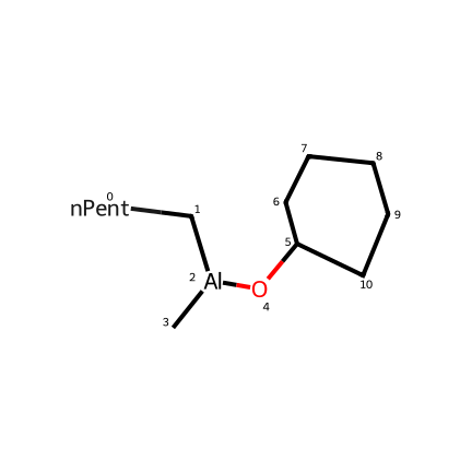 CCCCC[CH2][Al]([CH3])[O]C1CCCCC1